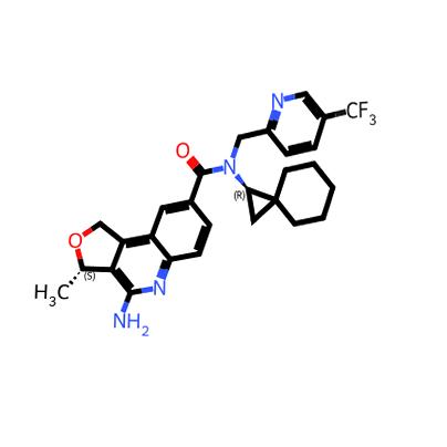 C[C@@H]1OCc2c1c(N)nc1ccc(C(=O)N(Cc3ccc(C(F)(F)F)cn3)[C@@H]3CC34CCCCC4)cc21